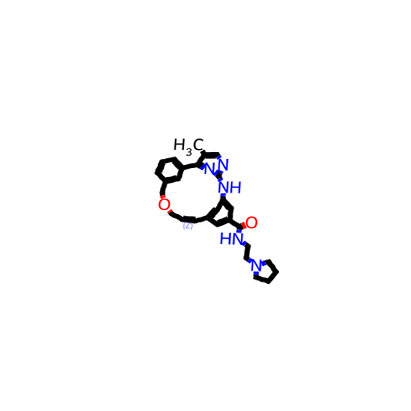 Cc1cnc2nc1-c1cccc(c1)COC/C=C\c1cc(cc(C(=O)NCCN3CCCC3)c1)N2